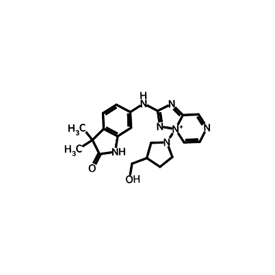 CC1(C)C(=O)Nc2cc(NC3=N[N+]4(N5CCC(CO)C5)C=CN=CC4=N3)ccc21